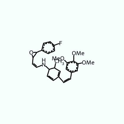 COc1cc(/C=C\C2=CC(C)C(N/C=C\C3OC3c3ccc(F)cc3)C=C2)cc(OC)c1OC